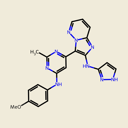 COc1ccc(Nc2cc(-c3c(Nc4cc[nH]n4)nc4cccnn34)nc(C)n2)cc1